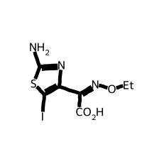 CCON=C(C(=O)O)c1nc(N)sc1I